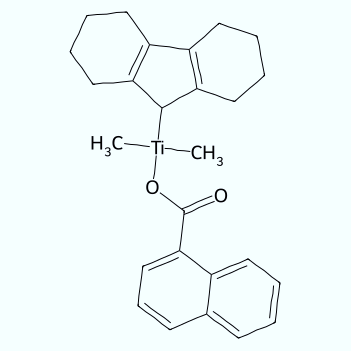 [CH3][Ti]([CH3])([O]C(=O)c1cccc2ccccc12)[CH]1C2=C(CCCC2)C2=C1CCCC2